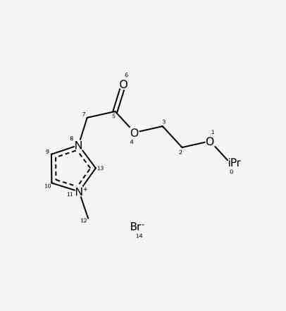 CC(C)OCCOC(=O)Cn1cc[n+](C)c1.[Br-]